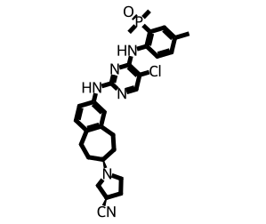 Cc1ccc(Nc2nc(Nc3ccc4c(c3)CC[C@@H](N3CC[C@@H](C#N)C3)CC4)ncc2Cl)c(P(C)(C)=O)c1